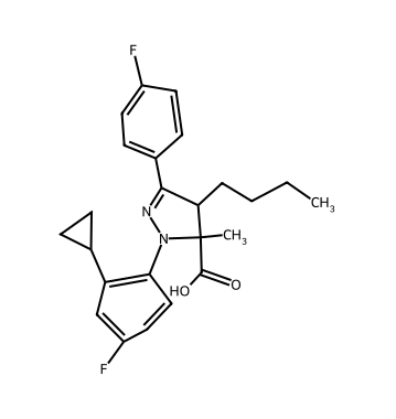 CCCCC1C(c2ccc(F)cc2)=NN(c2ccc(F)cc2C2CC2)C1(C)C(=O)O